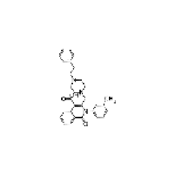 Cc1cccc(-n2c(CN3CCN(CCc4ccccc4)CC3)c(C(=O)O)c3ccccc3c2=O)c1